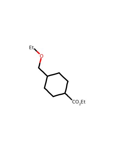 CCOCC1CCC(C(=O)OCC)CC1